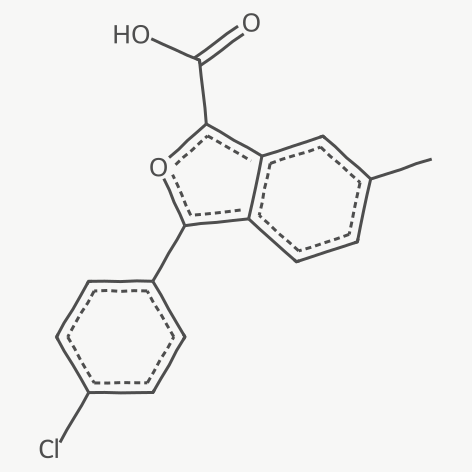 Cc1ccc2c(-c3ccc(Cl)cc3)oc(C(=O)O)c2c1